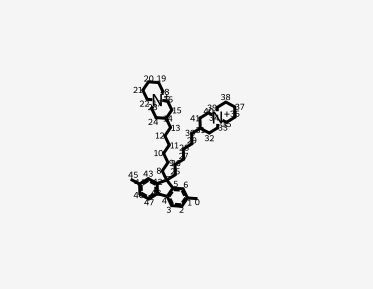 Cc1ccc2c(c1)C(CCCCCCC1CC[N+]3(CCCCC3)CC1)(CCCCCCC1CC[N+]3(CCCCC3)CC1)c1cc(C)ccc1-2